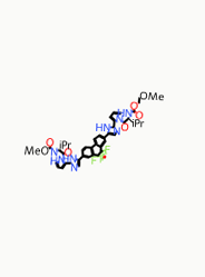 COCCOC(=O)N[C@H](C(=O)n1cccc1-c1ncc(-c2ccc3c(c2)C(F)(F)C(F)(F)c2cc(-c4cnc(-c5cccn5C(=O)C(NC(=O)OC)C(C)C)[nH]4)ccc2-3)[nH]1)C(C)C